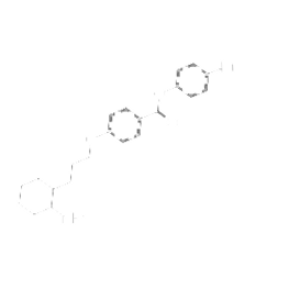 CCCC1CCCCC1CCCOc1ccc(C(=O)Oc2ccc(CC)cc2)cc1